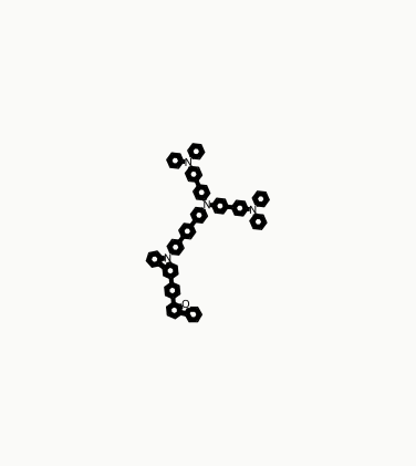 c1ccc(N(c2ccccc2)c2ccc(-c3ccc(N(c4ccc(-c5ccc(-c6ccc(-n7c8ccccc8c8cc(-c9ccc(-c%10cccc%11c%10oc%10ccccc%10%11)cc9)ccc87)cc6)cc5)cc4)c4ccc(-c5ccc(N(c6ccccc6)c6ccccc6)cc5)cc4)cc3)cc2)cc1